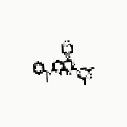 CC1CN(c2nc(N3CCOCC3)c3ccc(Nc4ccccc4)nc3n2)CC(C)O1